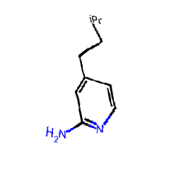 CC(C)CCc1ccnc(N)c1